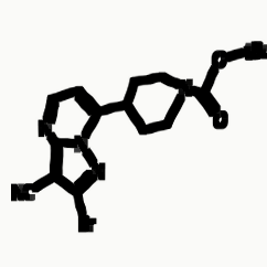 CC(C)(C)OC(=O)N1CCC(c2ccnc3c(C#N)c(Br)nn23)CC1